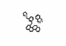 C1=CC2=C(CC1)CCc1c2ccc2cccc(Cc3cccc(CN4CCCC4)c3)c12.c1ccc2cnncc2c1